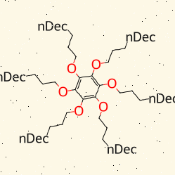 CCCCCCCCCCCCCOc1c(OCCCCCCCCCCCCC)c(OCCCCCCCCCCCCC)c(OCCCCCCCCCCCCC)c(OCCCCCCCCCCCCC)c1OCCCCCCCCCCCCC